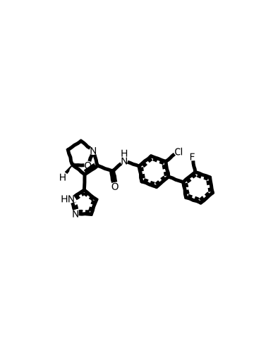 O=C(Nc1ccc(-c2ccccc2F)c(Cl)c1)C1=C(c2ccn[nH]2)[C@@H]2CCN1O2